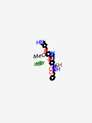 Br.Br.COc1cc2c(Oc3ccc(N(S)C(=O)NC(=O)Cc4ccccc4)cc3F)ncnc2cc1OCC1CC2CNCC2C1